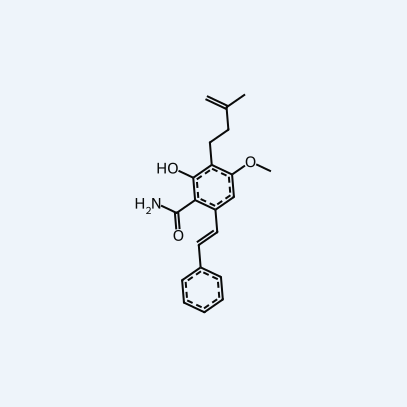 C=C(C)CCc1c(OC)cc(C=Cc2ccccc2)c(C(N)=O)c1O